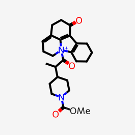 COC(=O)N1CCC(C(C)C(=O)[N+]23CCC=C4CCC(=O)C(=C42)C2=C3CCCC2)CC1